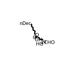 CCCCCCCCCCCCCCCCOP(=O)(O)CCCN(O)C=O